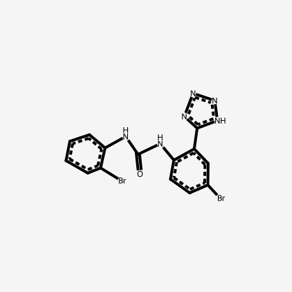 O=C(Nc1ccccc1Br)Nc1ccc(Br)cc1-c1nnn[nH]1